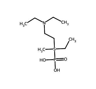 CCN(CC)CCS(C)(CC)P(=O)(O)O